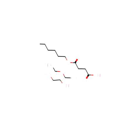 CCCCCCOC(=O)CCC(=O)O.CCOCC.OCCO